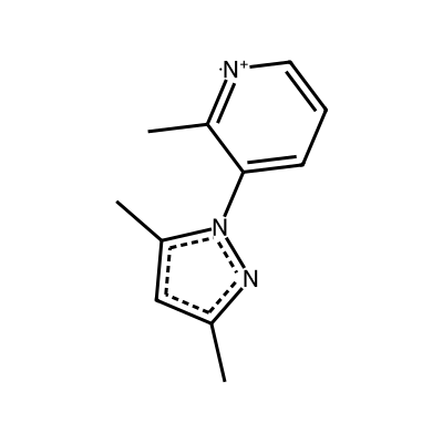 CC1=[N+]C=CC=C1n1nc(C)cc1C